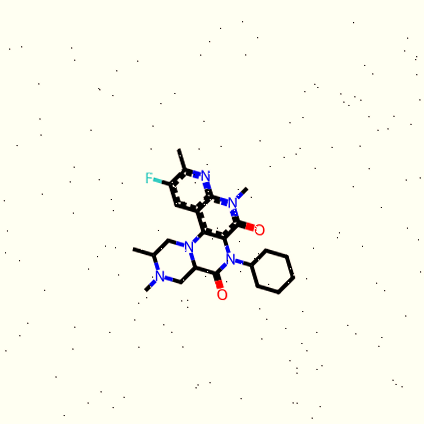 Cc1nc2c(cc1F)c1c(c(=O)n2C)N(C2CCCCC2)C(=O)C2CN(C)C(C)CN12